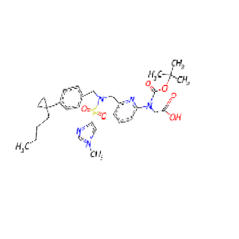 CCCCC1(c2ccc(CN(Cc3cccc(N(CC(=O)O)C(=O)OC(C)(C)C)n3)S(=O)(=O)c3cn(C)cn3)cc2)CC1